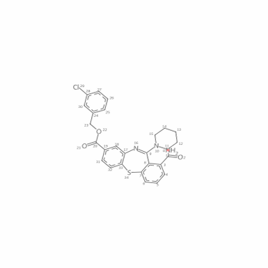 NC(=O)c1cccc2c1C(N1CCCCC1)=Nc1cc(C(=O)OCc3cccc(Cl)c3)ccc1S2